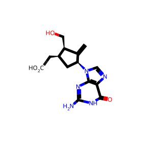 C=C1[C@H](CO)[C@H](CC(=O)O)C[C@@H]1n1cnc2c(=O)[nH]c(N)nc21